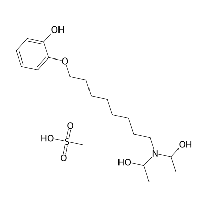 CC(O)N(CCCCCCCCOc1ccccc1O)C(C)O.CS(=O)(=O)O